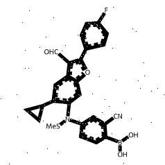 CSN(c1ccc(B(O)O)c(C#N)c1)c1cc2oc(-c3ccc(F)cc3)c(C=O)c2cc1C1CC1